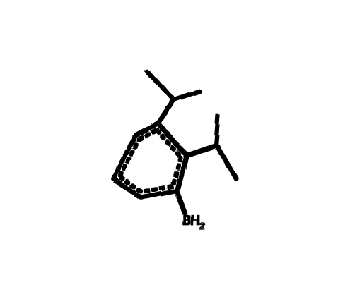 Bc1cccc(C(C)C)c1C(C)C